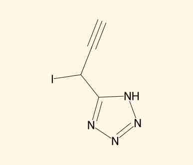 C#CC(I)c1nnn[nH]1